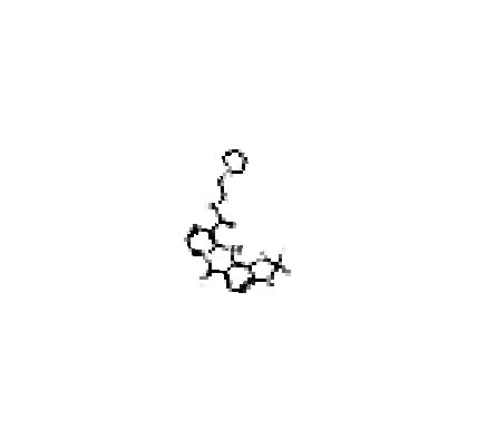 Cl.O=C(NCCN1CCCC1)c1ccc[n+]2c(=O)c3ccc4c(c3[nH]c12)OC(F)(F)O4